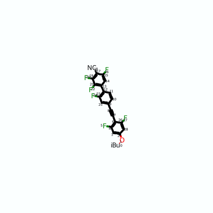 CC[C@@H](C)Oc1cc(F)c(C#Cc2ccc(-c3cc(F)c(C#N)c(F)c3F)c(F)c2)c(F)c1